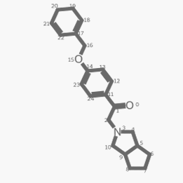 O=C(CN1CC2CCCC2C1)c1ccc(OCC2=CCCC=C2)cc1